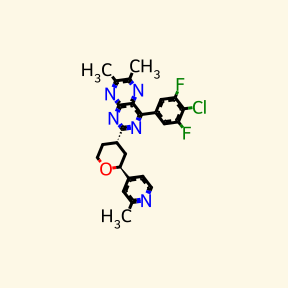 Cc1cc([C@@H]2C[C@@H](c3nc(-c4cc(F)c(Cl)c(F)c4)c4nc(C)c(C)nc4n3)CCO2)ccn1